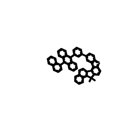 CC1(C)c2ccc3sc4ccc(-c5cccc(-c6c7ccccc7c(-c7cccc8ccccc78)c7ccccc67)c5)cc4c3c2-c2ccc3ccccc3c21